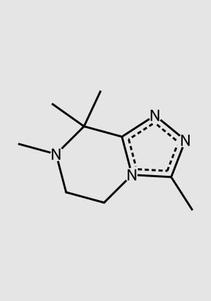 Cc1nnc2n1CCN(C)C2(C)C